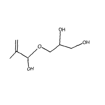 C=C(C)C(O)OCC(O)CO